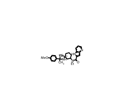 CCN(C(=O)c1cc2ncccc2[nH]1)C1CCC[C@@](S)(NC(C)(C)c2ccc(OC)cc2)C1